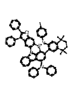 Cc1ccc(N2B3c4cc5oc(-c6ccccc6)c(-c6ccccc6)c5cc4-n4c5ccccc5c5c(N(c6ccccc6)c6ccccc6)cc(c3c54)-c3cc4c(cc32)C(C)(C)CCC4(C)C)cc1